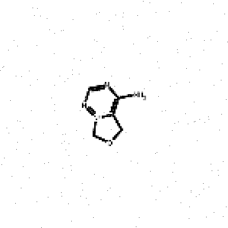 Nc1ncn[n+]2c1COC2